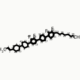 C/C=C/C1CCC(C2CCC(c3ccc(-c4ccc(-c5ccc(CCCCCCCC)c(F)c5F)cc4)c(F)c3F)CC2)CC1